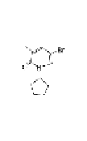 Cc1cc(Br)cn(C2CCCC2)c1=O